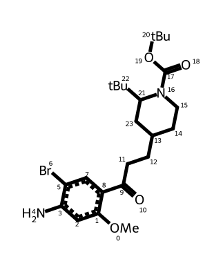 COc1cc(N)c(Br)cc1C(=O)CCC1CCN(C(=O)OC(C)(C)C)C(C(C)(C)C)C1